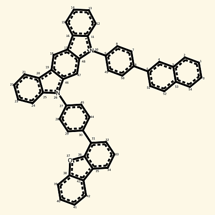 c1ccc2cc(-c3ccc(-n4c5ccccc5c5cc6c7ccccc7n(-c7ccc(-c8cccc9c8oc8ccccc89)cc7)c6cc54)cc3)ccc2c1